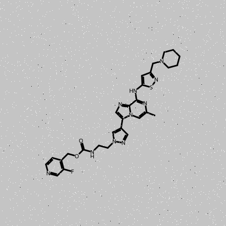 Cc1cn2c(-c3cnn(CCNC(=O)OCc4ccncc4F)c3)cnc2c(Nc2cc(CN3CCCCC3)ns2)n1